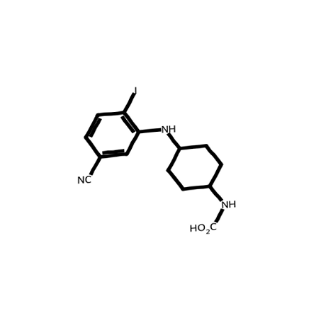 N#Cc1ccc(I)c(NC2CCC(NC(=O)O)CC2)c1